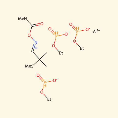 CCO[PH](=O)[O-].CCO[PH](=O)[O-].CCO[PH](=O)[O-].CNC(=O)O/N=C/C(C)(C)SC.[Al+3]